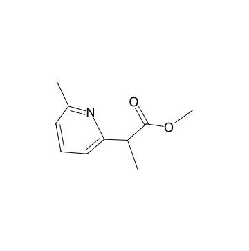 COC(=O)C(C)c1cccc(C)n1